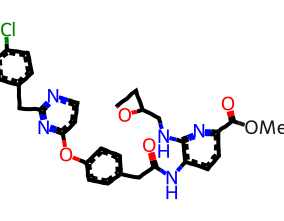 COC(=O)c1ccc(NC(=O)Cc2ccc(Oc3ccnc(Cc4ccc(Cl)cc4)n3)cc2)c(NCC2CCO2)n1